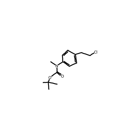 CN(C(=O)OC(C)(C)C)c1ccc(CCCl)cc1